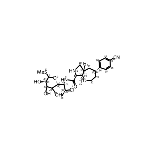 CSC1O[C@H]([C@H](NC(=O)[C@H]2NC[C@@H]3C[C@H](c4ccc(C#N)cc4)CCO[C@H]32)[C@H](C)Cl)C(O)C(O)[C@H]1O